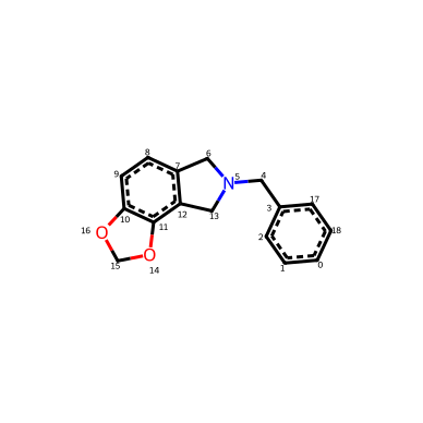 c1ccc(CN2Cc3ccc4c(c3C2)OCO4)cc1